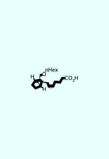 CCCCCCOC[C@@H]1[C@@H](C/C=C\CCCC(=O)O)[C@@H]2CC[C@H]1O2